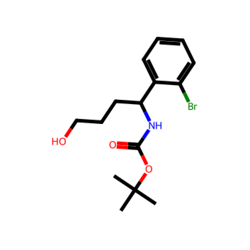 CC(C)(C)OC(=O)NC(CCCO)c1ccccc1Br